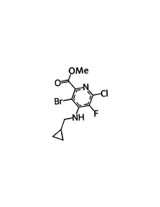 COC(=O)c1nc(Cl)c(F)c(NCC2CC2)c1Br